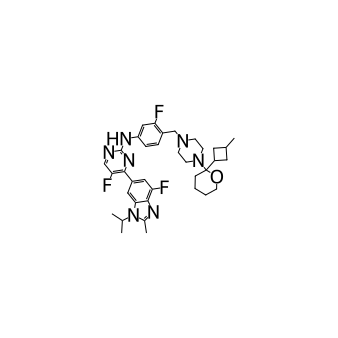 Cc1nc2c(F)cc(-c3nc(Nc4ccc(CN5CCN(C6(C7CC(C)C7)CCCCO6)CC5)c(F)c4)ncc3F)cc2n1C(C)C